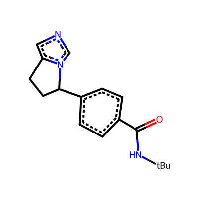 CC(C)(C)NC(=O)c1ccc(C2CCc3cncn32)cc1